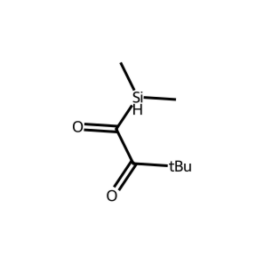 C[SiH](C)C(=O)C(=O)C(C)(C)C